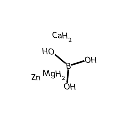 OB(O)O.[CaH2].[MgH2].[Zn]